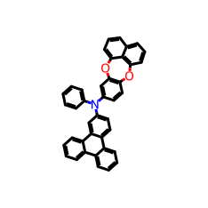 c1ccc(N(c2ccc3c(c2)Oc2cccc4cccc(c24)O3)c2ccc3c4ccccc4c4ccccc4c3c2)cc1